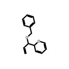 C=CC(OCc1ccccc1)C1C=CC=CO1